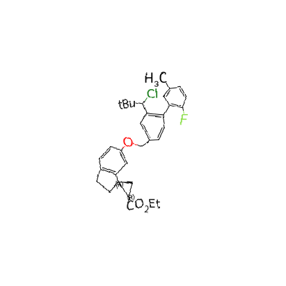 CCOC(=O)[C@@H]1C[C@]12CCc1ccc(OCc3ccc(-c4cc(C)ccc4F)c(C(Cl)C(C)(C)C)c3)cc12